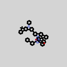 CC1(C)c2ccccc2-c2cc3c4cc(-c5ccc6c(c5)c5ccc7c(c5n6-c5nc(-c6ccccc6)nc(-c6cccc(-c8ccccc8)c6)n5)C5(c6ccccc6-c6ccccc65)c5ccccc5-7)ccc4n(-c4ccccc4)c3cc21